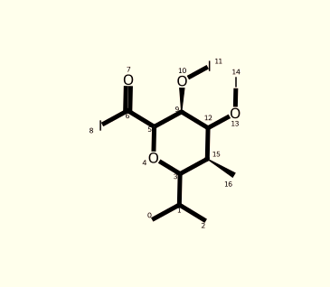 CC(C)C1OC(C(=O)I)[C@@H](OI)C(OI)[C@H]1C